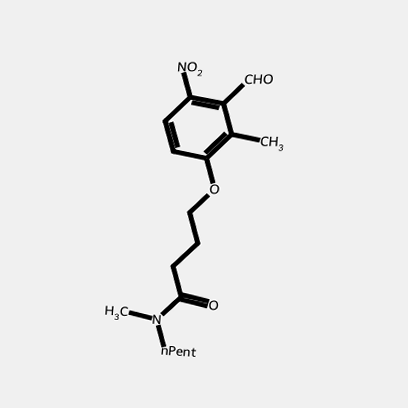 CCCCCN(C)C(=O)CCCOc1ccc([N+](=O)[O-])c(C=O)c1C